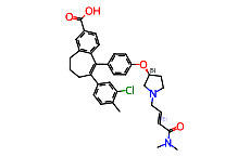 Cc1ccc(C2=C(c3ccc(O[C@H]4CCN(C/C=C/C(=O)N(C)C)C4)cc3)c3ccc(C(=O)O)cc3CCC2)cc1Cl